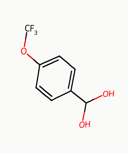 OC(O)c1ccc(OC(F)(F)F)cc1